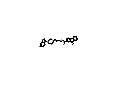 O=C(NCCCCN1CCCN(c2csc3cc(F)ccc23)CC1)c1ccc2c(c1)C(=O)c1ccccc1-2